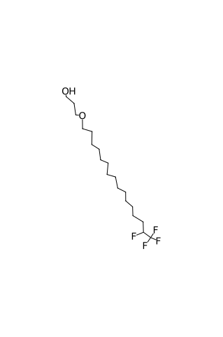 OCCCOCCCCCCCCCCCCCCC(F)C(F)(F)F